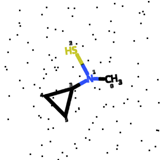 CN(S)C1CC1